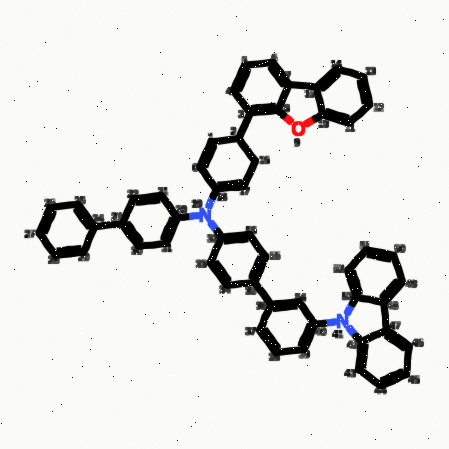 C1=CC(c2cccc3c2oc2ccccc23)CC=C1N(c1ccc(-c2ccccc2)cc1)c1ccc(-c2cccc(-n3c4ccccc4c4ccccc43)c2)cc1